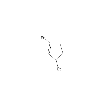 CCC1=CC(CC)CC1